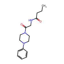 CCCC(=O)NCC(=O)N1CCN(c2ccccc2)CC1